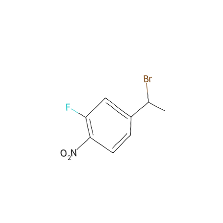 CC(Br)c1ccc([N+](=O)[O-])c(F)c1